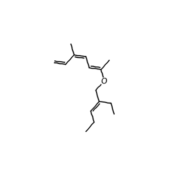 C=C/C(C)=C\C=C(/C)OC/C(=C/CC)CC